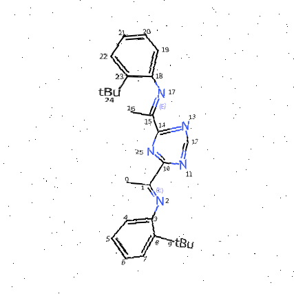 C/C(=N\c1ccccc1C(C)(C)C)c1ncnc(/C(C)=N/c2ccccc2C(C)(C)C)n1